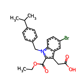 CCOC(=O)c1c(CC(=O)O)c2cc(Br)ccc2n1Cc1ccc(C(C)C)cc1